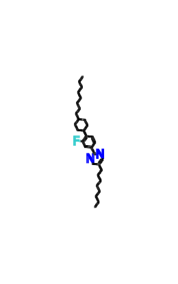 CCCCCCCCc1cnc(-c2ccc(C3CCC(CCCCCCCC)CC3)c(F)c2)nc1